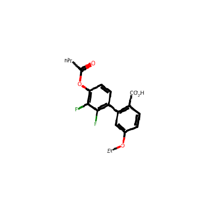 CCCC(=O)Oc1ccc(-c2cc(OCC)ccc2C(=O)O)c(F)c1F